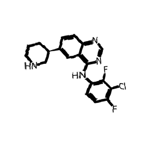 Fc1ccc(Nc2ncnc3ccc([C@@H]4CCCNC4)cc23)c(F)c1Cl